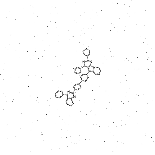 c1ccc(-c2nc(-c3ccccc3)n3c(-c4ccc(-c5ccc(-c6nc(-c7ccccc7)c7ccccc7n6)cc5)cc4)c4ccccc4c3n2)cc1